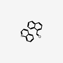 O=Cc1cccc2ccccc12.c1ccc2ncccc2c1